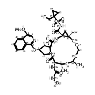 COc1cnc(O[C@@H]2C[C@H]3C(=O)N[C@]4(C(=O)NS(=O)(=O)C5(CF)CC5)C[C@H]4CCCC[C@@H](C)C[C@@H](C)[C@H](NC(=O)NC(C)(C)C)C(=O)N3C2)c2ccccc12